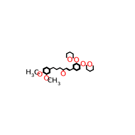 COc1ccc(CCCC(=O)C=Cc2ccc(OC3CCCCO3)c(OC3CCCCO3)c2)cc1OC